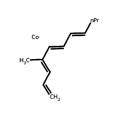 C=CC=C(C)C=CC=CCCC.[Co]